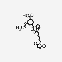 CSSC1CC(C(=O)O)CCC(C(=O)[C@@H]2CCCN2C(=O)CCCCCN2C(=O)C=CC2=O)C1